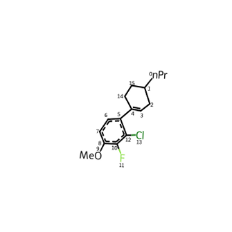 CCCC1CC=C(c2ccc(OC)c(F)c2Cl)CC1